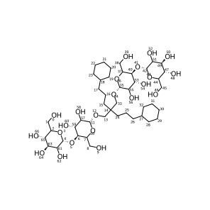 OCC1O[C@H](O[C@@H]2C(CO)O[C@@H](OCC(CCCC3CCCCC3)(CCCC3CCCCC3)CO[C@@H]3OC(CO)[C@@H](O[C@H]4OC(CO)[C@@H](O)[C@H](O)C4O)[C@H](O)C3O)C(O)[C@H]2O)C(O)[C@@H](O)[C@@H]1O